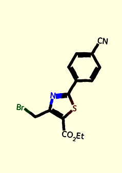 CCOC(=O)c1sc(-c2ccc(C#N)cc2)nc1CBr